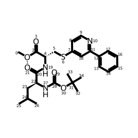 COC(=O)[C@H](CSc1ccnc(-c2ccccc2)c1)NC(=O)[C@H](CC(C)C)NC(=O)OC(C)(C)C